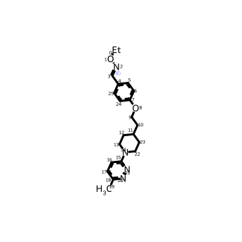 CCO/N=C/c1ccc(OCCC2CCN(c3ccc(C)nn3)CC2)cc1